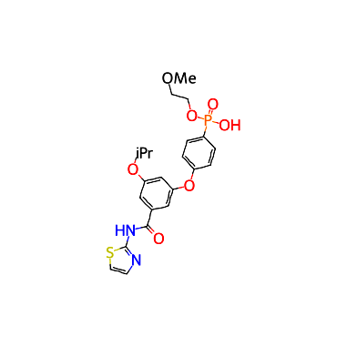 COCCOP(=O)(O)c1ccc(Oc2cc(OC(C)C)cc(C(=O)Nc3nccs3)c2)cc1